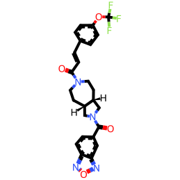 O=C(/C=C/c1ccc(OC(F)(F)F)cc1)N1CC[C@@H]2CN(C(=O)c3ccc4nonc4c3)C[C@@H]2CC1